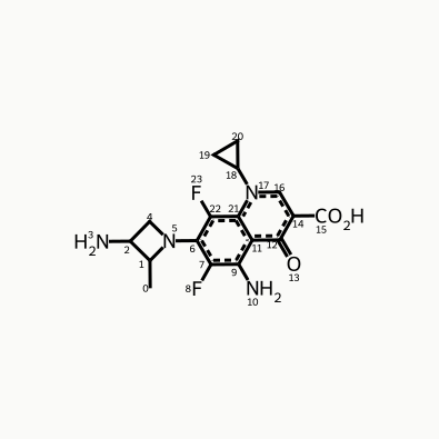 CC1C(N)CN1c1c(F)c(N)c2c(=O)c(C(=O)O)cn(C3CC3)c2c1F